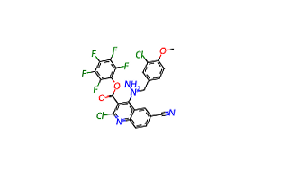 COc1ccc(CN(N)c2c(C(=O)Oc3c(F)c(F)c(F)c(F)c3F)c(Cl)nc3ccc(C#N)cc23)cc1Cl